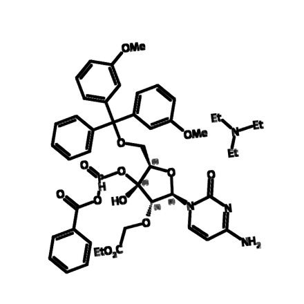 CCN(CC)CC.CCOC(=O)CO[C@H]1[C@H](n2ccc(N)nc2=O)O[C@H](COC(c2ccccc2)(c2cccc(OC)c2)c2cccc(OC)c2)[C@@]1(O)O[PH](=O)OC(=O)c1ccccc1